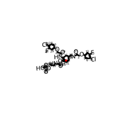 O=C(COc1ccc(Cl)c(F)c1)NCC1CC2(NC(=O)COc3ccc(Cl)c(F)c3)CCC1C[C@@H]2OC(=O)NCCOP(=O)(O)O